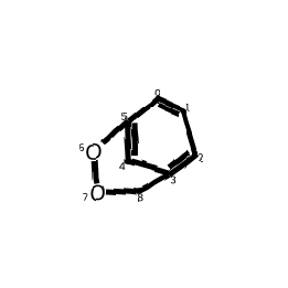 [c]1ccc2cc1OOC2